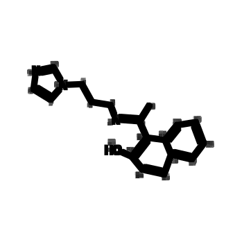 C/C(=N\CCCn1ccnc1)c1c(O)ccc2ccccc12